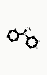 [CH2]=[Zr]([c]1ccccc1)[c]1ccccc1